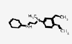 C=Cc1ccc(N(C)CCNC2CCCCC2)cc1CC